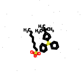 CC(C)(C)c1ccc([S+](c2ccccc2)c2ccccc2)cc1.CCCCCCCCS(=O)(=O)[O-]